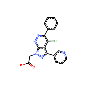 O=C(O)Cn1nc(-c2cccnc2)c2c(Cl)c(-c3ccccc3)nnc21